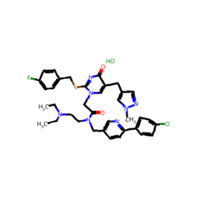 CCN(CC)CCN(Cc1ccc(-c2ccc(Cl)cc2)nc1)C(=O)Cn1cc(Cc2cnn(C)c2)c(=O)nc1SCc1ccc(F)cc1.Cl